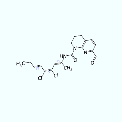 CC/C=C/C(Cl)=C(Cl)\C=C(/C)NC(=O)N1CCCc2ccc(C=O)nc21